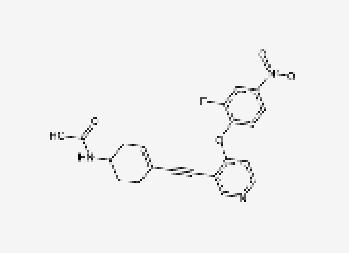 O=C(O)NC1CC=C(C#Cc2cnccc2Oc2ccc([N+](=O)[O-])cc2F)CC1